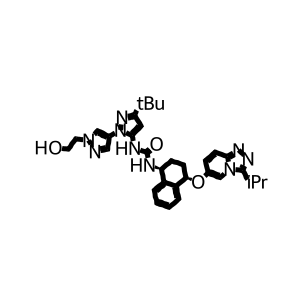 CC(C)c1nnc2ccc(O[C@@H]3CC[C@H](NC(=O)Nc4cc(C(C)(C)C)nn4-c4cnn(CCO)c4)c4ccccc43)cn12